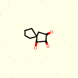 O=C1CC2(CCCC2)C(=O)C1=O